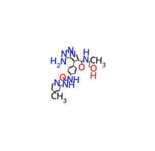 Cc1ccnc(NC(=O)Nc2ccc(-c3c(C(=O)NC(C)CO)cn4ncnc(N)c34)cc2)c1